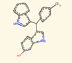 Oc1ccc2c(C(c3ccc(C(F)(F)F)cc3)c3c[nH]c4ccccc34)c[nH]c2c1